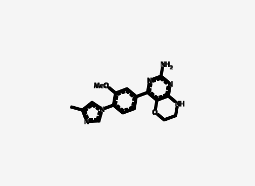 COc1cc(-c2nc(N)nc3c2OCCN3)ccc1-n1cnc(C)c1